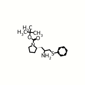 CC(C)(C)OC(=O)N1CCC[C@H]1CC(N)CSc1ccccc1